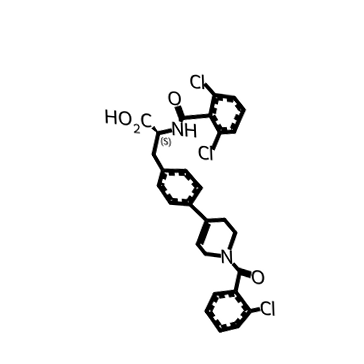 O=C(N[C@@H](Cc1ccc(C2=CCN(C(=O)c3ccccc3Cl)CC2)cc1)C(=O)O)c1c(Cl)cccc1Cl